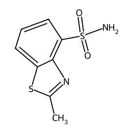 Cc1nc2c(S(N)(=O)=O)cccc2s1